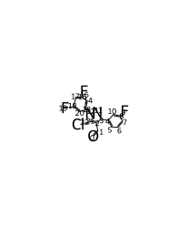 O=Cc1c(-c2cccc(F)c2)nn(-c2cc(F)cc(F)c2)c1Cl